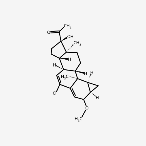 COC1C=C2C(Cl)=C[C@@H]3[C@H](CC[C@@]4(C)[C@H]3CC[C@]4(O)C(C)=O)[C@@]2(C)[C@H]2C[C@@H]12